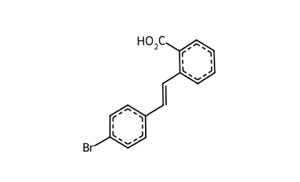 O=C(O)c1ccccc1/C=C/c1ccc(Br)cc1